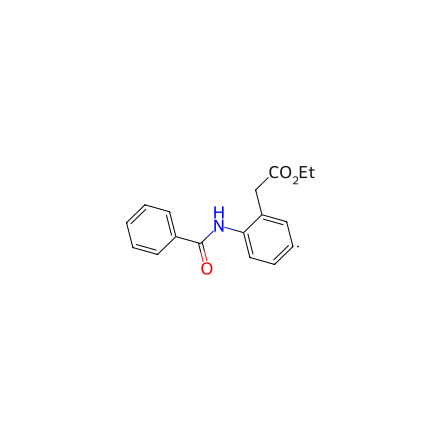 CCOC(=O)Cc1c[c]ccc1NC(=O)c1ccccc1